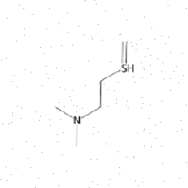 [CH]=[SH]CCN(C)C